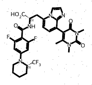 Cc1c(-c2ccc(C[C@H](NC(=O)c3c(F)cc(N4CCCC[C@H]4C(F)(F)F)cc3F)C(=O)O)n3ccnc23)c(=O)n(C)c(=O)n1C